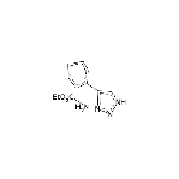 CCOC(N)=O.c1ccc(-c2c[nH]nn2)cc1